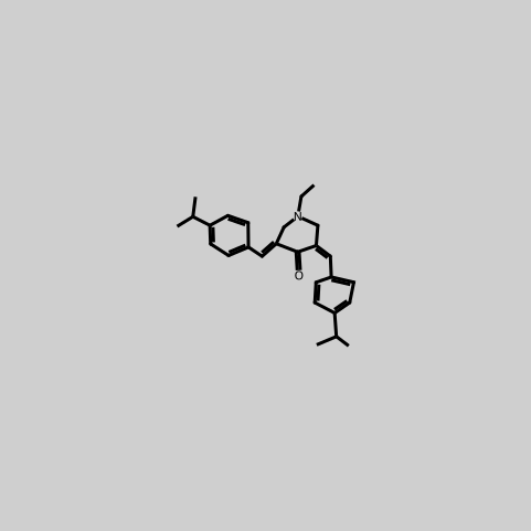 CCN1CC(=Cc2ccc(C(C)C)cc2)C(=O)C(=Cc2ccc(C(C)C)cc2)C1